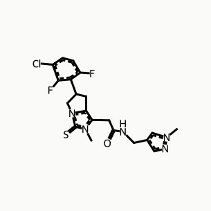 Cn1cc(CNC(=O)Cc2c3n(c(=S)n2C)CC(c2c(F)ccc(Cl)c2F)C3)cn1